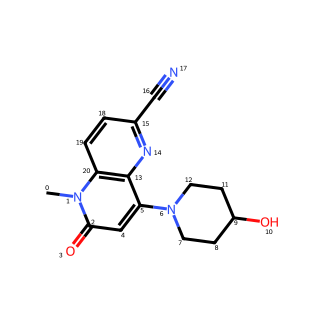 Cn1c(=O)cc(N2CCC(O)CC2)c2nc(C#N)ccc21